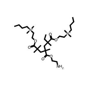 CCCC[N+](C)(C)CCOC(=O)C(C)(C)CC(C)(CC(C)(CC)C(=O)OCC[N+](C)(C)CCCC)C(=O)OCCN